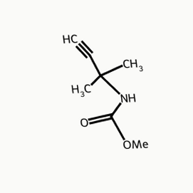 C#CC(C)(C)NC(=O)OC